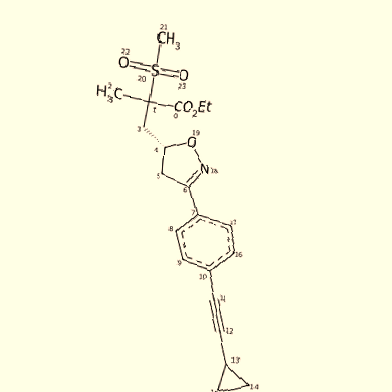 CCOC(=O)C(C)(C[C@H]1CC(c2ccc(C#CC3CC3)cc2)=NO1)S(C)(=O)=O